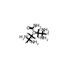 CC(N)(N)C(C)(C)OC(C)(C)C(C)(N)N.NC=O